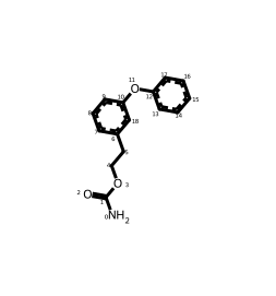 NC(=O)OCCc1cccc(Oc2ccccc2)c1